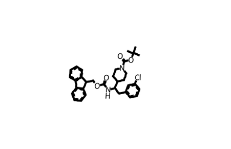 CC(C)(C)OC(=O)N1CCC(C(Cc2cccc(Cl)c2)NC(=O)OCC2c3ccccc3-c3ccccc32)CC1